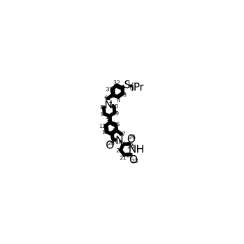 CC(C)Sc1ccc(CN2CCC(c3ccc4c(c3)CN(C3CCC(=O)NC3=O)C4=O)CC2)cc1